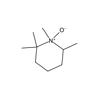 CC1CCCC(C)(C)[N+]1(C)[O-]